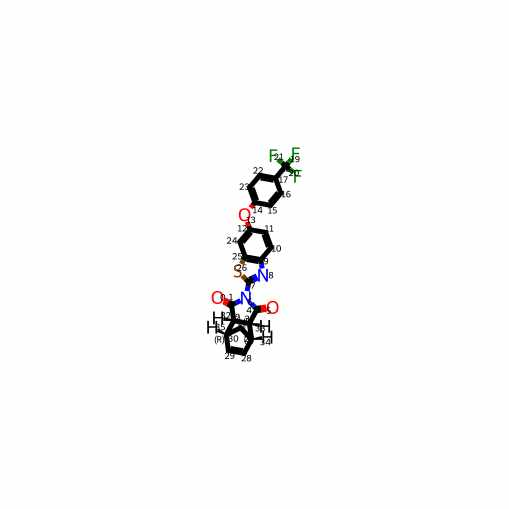 O=C1[C@@H]2[C@H](C(=O)N1c1nc3ccc(Oc4ccc(C(F)(F)F)cc4)cc3s1)[C@@H]1C=C[C@H]2C1